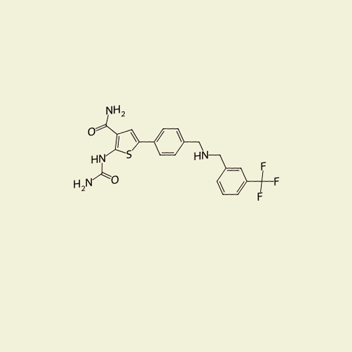 NC(=O)Nc1sc(-c2ccc(CNCc3cccc(C(F)(F)F)c3)cc2)cc1C(N)=O